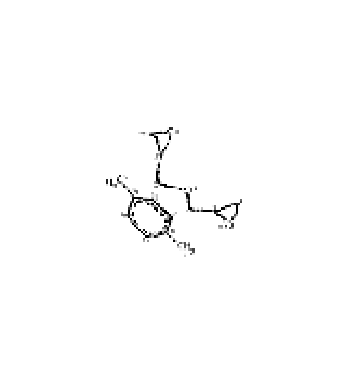 C(OCC1CO1)C1CO1.Cc1ccc(C)cc1